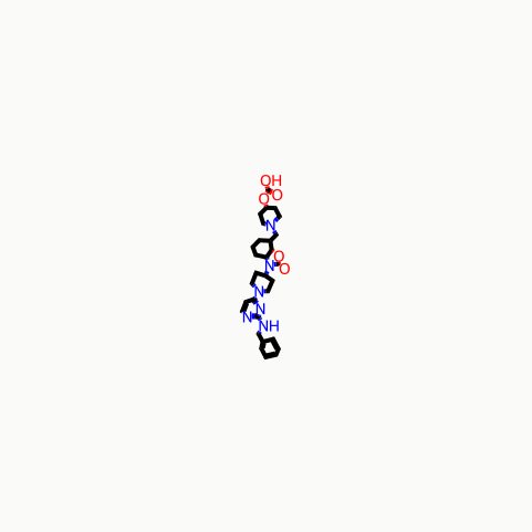 O=C(O)OC1CCN(CC2CCCC3C2OC(=O)N3C2CCN(c3ccnc(NCc4ccccc4)n3)CC2)CC1